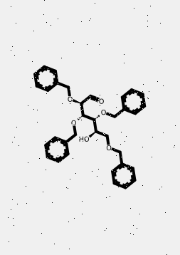 O=C[C@H](OCc1ccccc1)[C@@H](OCc1ccccc1)[C@H](OCc1ccccc1)[C@H](O)COCc1ccccc1